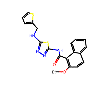 CCOc1ccc2ccccc2c1C(=O)Nc1nnc(NCc2cccs2)s1